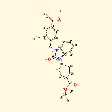 COC(=O)c1ccc(Cn2c(=O)n(C3CCN(C(=O)OC(C)(C)C)CC3)c3ccccc32)c(F)c1